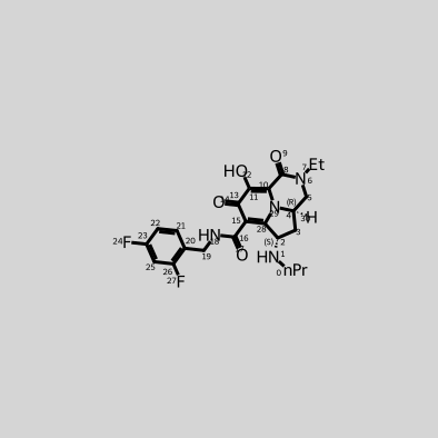 CCCN[C@H]1C[C@@H]2CN(CC)C(=O)c3c(O)c(=O)c(C(=O)NCc4ccc(F)cc4F)c1n32